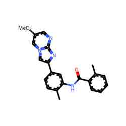 COc1cnc2nc(-c3ccc(C)c(NC(=O)c4ccccc4C)c3)cn2c1